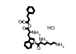 Cl.NCCCC[C@H](N)C(=O)n1cc(C[C@H](N)C(=O)OC(=C=O)CCc2ccccc2)c2ccccc21